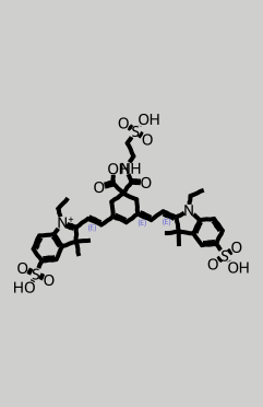 CCN1/C(=C/C=C2C=C(/C=C/C3=[N+](CC)c4ccc(S(=O)(=O)O)cc4C3(C)C)CC(C(=O)O)(C(=O)NCCS(=O)(=O)O)C/2)C(C)(C)c2cc(S(=O)(=O)O)ccc21